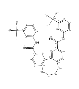 N=C(Nc1cccc(C(F)(F)F)c1)c1ccc2c(c1)-c1cc(C(=N)Nc3cccc(C(F)(F)F)c3)ccc1OCCO2